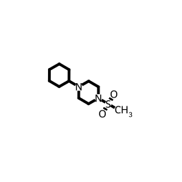 CS(=O)(=O)N1CCN(C2CCCCC2)CC1